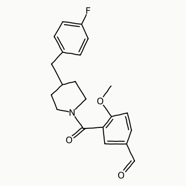 COc1ccc(C=O)cc1C(=O)N1CCC(Cc2ccc(F)cc2)CC1